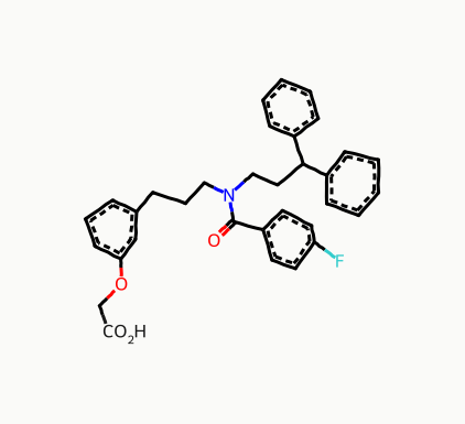 O=C(O)COc1cccc(CCCN(CCC(c2ccccc2)c2ccccc2)C(=O)c2ccc(F)cc2)c1